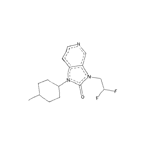 CC1CCC(n2c(=O)n(CC(F)F)c3cnccc32)CC1